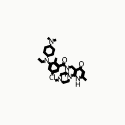 CCN(c1cc(Cl)cc(C(=O)NCc2c(N3CCN(C)CC3)[nH]c(C)cc2=O)c1C)[C@H]1CC[C@H](N(C)C)CC1